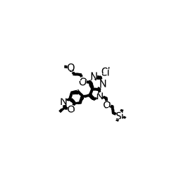 COCCOc1nc(Cl)nc2c1c(-c1ccc3nc(C)oc3c1)cn2COCC[Si](C)(C)C